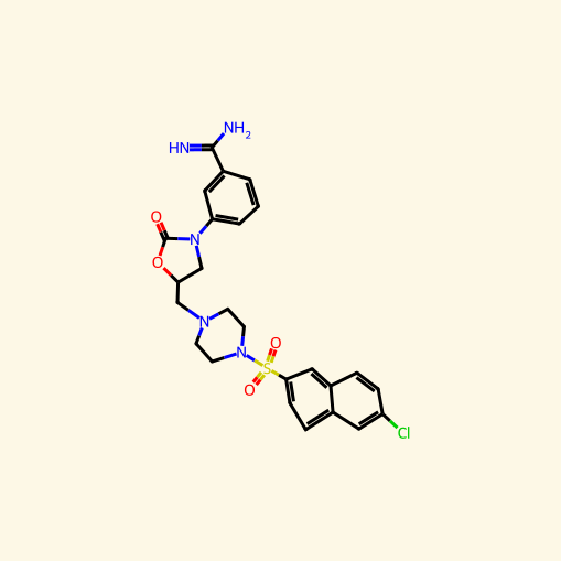 N=C(N)c1cccc(N2CC(CN3CCN(S(=O)(=O)c4ccc5cc(Cl)ccc5c4)CC3)OC2=O)c1